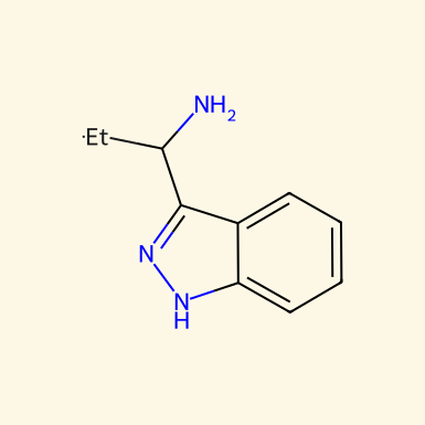 C[CH]C(N)c1n[nH]c2ccccc12